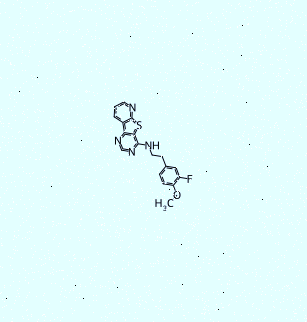 COc1ccc(CCNc2ncnc3c2sc2ncccc23)cc1F